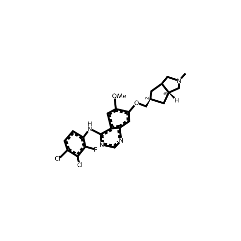 COc1cc2c(Nc3ccc(Cl)c(Cl)c3F)ncnc2cc1OC[C@H]1CC2CN(C)C[C@@H]2C1